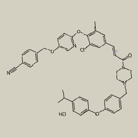 Cc1cc(/C=C/C(=O)N2CCN(Cc3ccc(Oc4ccc(C(C)C)cc4)cc3)CC2)cc(Cl)c1Oc1ccc(OCc2ccc(C#N)cc2)cn1.Cl